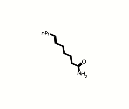 CCCC=CCCCCC(N)=O